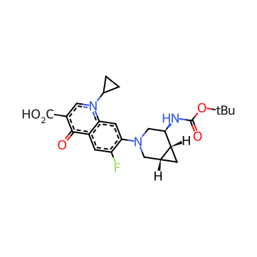 CC(C)(C)OC(=O)N[C@@H]1CN(c2cc3c(cc2F)c(=O)c(C(=O)O)cn3C2CC2)C[C@H]2C[C@H]21